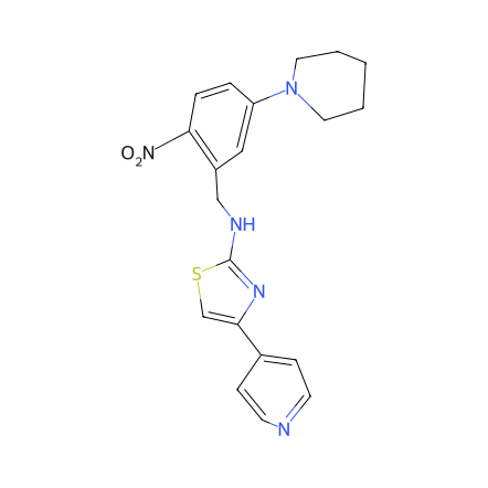 O=[N+]([O-])c1ccc(N2CCCCC2)cc1CNc1nc(-c2ccncc2)cs1